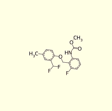 COC(=O)Nc1cccc(F)c1COc1ccc(C)cc1C(F)F